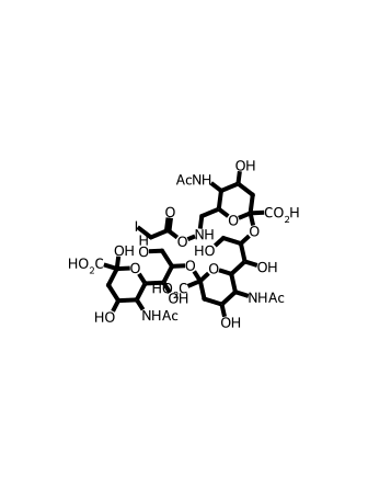 CC(=O)NC1C(O)CC(OC(CO)C(O)C2OC(OC(CO)C(O)C3OC(O)(C(=O)O)CC(O)C3NC(C)=O)(C(=O)O)CC(O)C2NC(C)=O)(C(=O)O)OC1CNOC(=O)CI